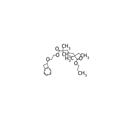 CCCOC(=O)C(C)(CC)CCCC(C)(C)C(=O)OCCOC1Cc2ccccc21